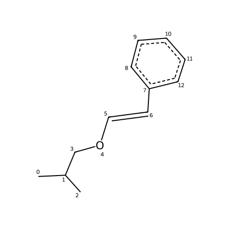 CC(C)CO/C=C/c1ccccc1